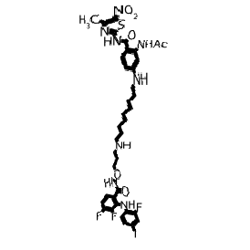 CC(=O)Nc1cc(NCCCCCCCCCNCCCONC(=O)c2ccc(F)c(F)c2Nc2ccc(I)cc2F)ccc1C(=O)Nc1nc(C)c([N+](=O)[O-])s1